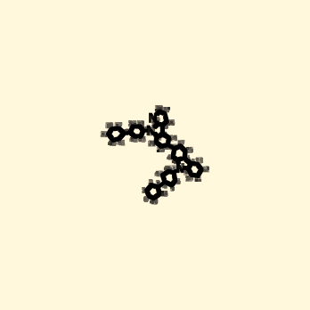 c1ccc(-c2ccc(-n3c4ccccc4c4ccc(-c5ccc6c(c5)c5cccnc5n6-c5ccc(-c6ccccc6)cc5)cc43)cc2)cc1